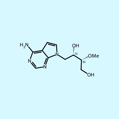 CO[C@H](CO)[C@@H](O)Cn1ccc2c(N)ncnc21